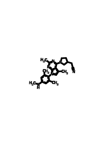 CBc1cc(C)c(-n2cc(C)c3c(N4CCC(CC#N)C4)nc(C)nc32)c(C)c1